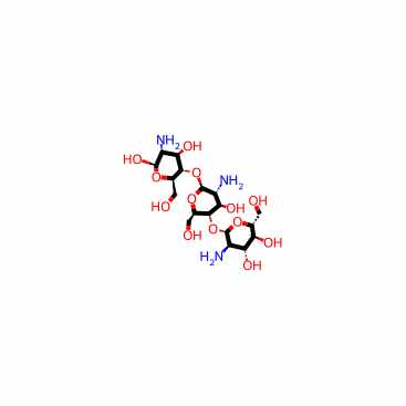 N[C@@H]1[C@@H](O)[C@H](O[C@@H]2O[C@H](CO)[C@@H](O[C@@H]3O[C@H](CO)[C@@H](O)[C@H](O)[C@H]3N)[C@H](O)[C@H]2N)[C@@H](CO)O[C@H]1O